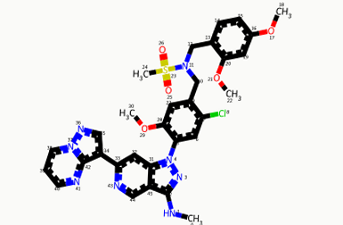 CNc1nn(-c2cc(Cl)c(CN(Cc3ccc(OC)cc3OC)S(C)(=O)=O)cc2OC)c2cc(-c3cnn4cccnc34)ncc12